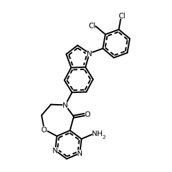 Nc1ncnc2c1C(=O)N(c1ccc3c(ccn3-c3cccc(Cl)c3Cl)c1)CCO2